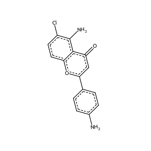 Nc1ccc(-c2cc(=O)c3c(N)c(Cl)ccc3o2)cc1